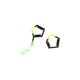 Cl.Cl.Clc1cccs1.c1ccsc1